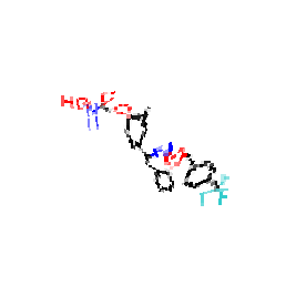 Cc1cc(C(Cc2ccccc2)=NOCc2ccc(C(F)(F)F)cc2)ccc1OCC(=O)NO